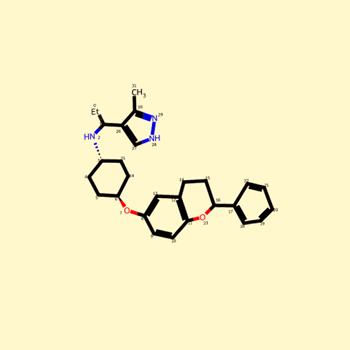 CCC(N[C@H]1CC[C@H](Oc2ccc3c(c2)CCC(c2ccccc2)O3)CC1)c1c[nH]nc1C